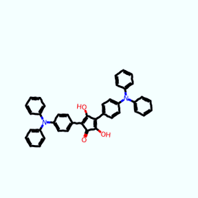 O=C1C(O)=C(c2ccc(N(c3ccccc3)c3ccccc3)cc2)C(O)=C1c1ccc(N(c2ccccc2)c2ccccc2)cc1